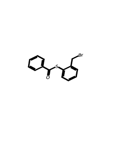 O=C(Sc1ccccc1CBr)c1ccccc1